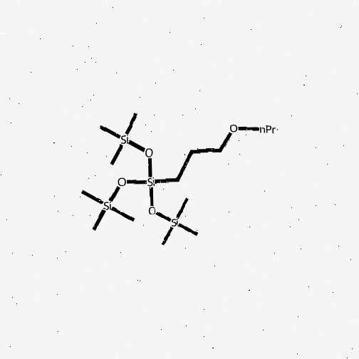 CC[CH]OCCC[Si](O[Si](C)(C)C)(O[Si](C)(C)C)O[Si](C)(C)C